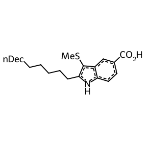 CCCCCCCCCCCCCCCc1[nH]c2ccc(C(=O)O)cc2c1SC